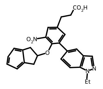 CCn1ncc2cc(-c3cc(CCC(=O)O)cc([N+](=O)[O-])c3OC3Cc4ccccc4C3)ccc21